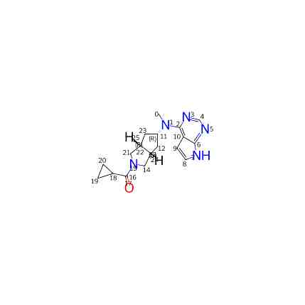 CN(c1ncnc2[nH]ccc12)[C@@H]1C[C@@H]2CN(C(=O)C3CC3)C[C@@H]2C1